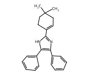 CC1(C)CC=C(c2nc(-c3ccccc3)c(-c3ccccc3)[nH]2)CC1